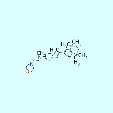 CC(=Cc1ccc(N(C)CCN2CCOCC2)cc1)c1ccc2c(c1)C(C)(C)CCC2(C)C